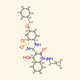 O=c1c(C2=NS(=O)(=O)c3cc(OCc4ccccc4)ccc3N2)c(O)c2ccccc2n1NCC1CC1